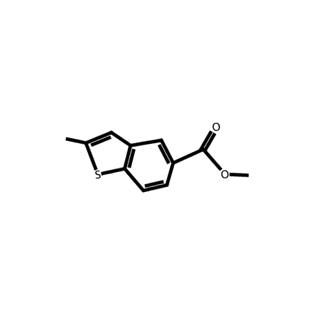 COC(=O)c1ccc2sc(C)cc2c1